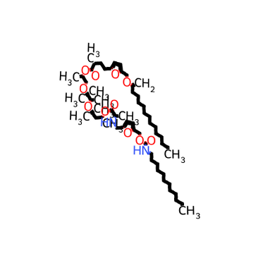 C=C(CCCCCCCCCCCCC)OCc1ccc(CCC(C)C(=O)OC(C)COC(C)(C)C(C)OC(C)(C)CC(C)OC(=O)C(C)NCc2ccc(COC(=O)NCCCCCCCCCCCC)o2)o1